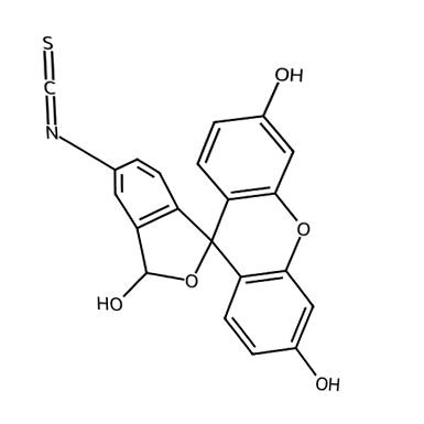 Oc1ccc2c(c1)Oc1cc(O)ccc1C21OC(O)c2cc(N=C=S)ccc21